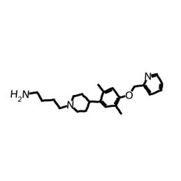 Cc1cc(C2CCN(CCCCN)CC2)c(C)cc1OCc1ccccn1